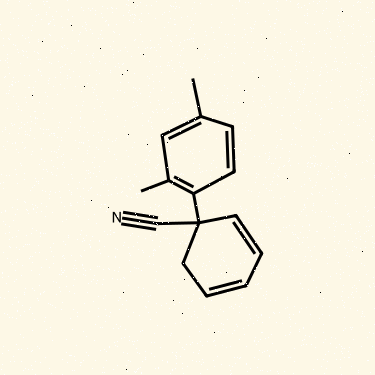 Cc1ccc(C2(C#N)C=CC=CC2)c(C)c1